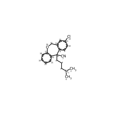 CN(C)CCCC1(C#N)c2ccc(Cl)cc2COc2ccccc21